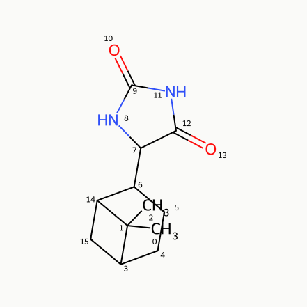 CC1(C)C2CCC(C3NC(=O)NC3=O)C1C2